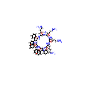 NCCCC[C@@H]1NC(=O)[C@H](CCCCN)NC(=O)[C@H](CCCCN)NC(=O)[C@H](C(c2ccccc2)c2ccccc2)NC(=O)[C@H](C(c2ccccc2)c2ccccc2)NC(=O)[C@H](C(c2ccccc2)c2ccccc2)NC(=O)[C@H](CCCCN)NC1=O